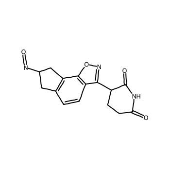 O=NC1Cc2ccc3c(C4CCC(=O)NC4=O)noc3c2C1